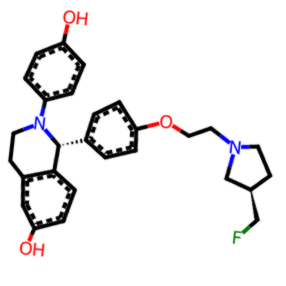 Oc1ccc(N2CCc3cc(O)ccc3[C@H]2c2ccc(OCCN3CC[C@@H](CF)C3)cc2)cc1